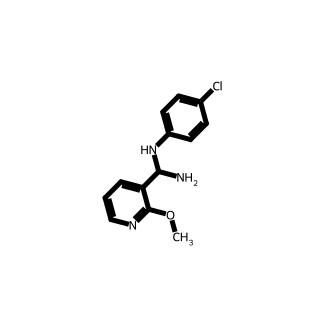 COc1ncccc1C(N)Nc1ccc(Cl)cc1